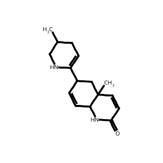 CC1CC=C(C2C=CC3NC(=O)C=CC3(C)C2)NC1